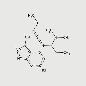 CCN=C=NC(CC)N(C)C.Cl.On1nnc2ccccc21